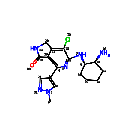 Cn1cc(-c2nc(N[C@@H]3CCCC[C@@H]3N)c(Cl)c3c2C(=O)NC3)cn1